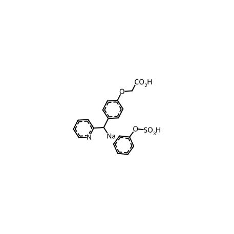 O=C(O)COc1ccc([CH]([Na])c2ccccn2)cc1.O=S(=O)(O)Oc1ccccc1